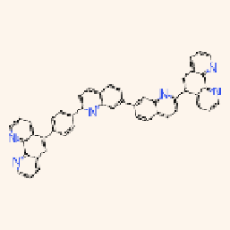 c1cnc2c(c1)cc(-c1ccc(-c3ccc4ccc(-c5ccc6ccc(-c7cc8cccnc8c8ncccc78)nc6c5)cc4n3)cc1)c1cccnc12